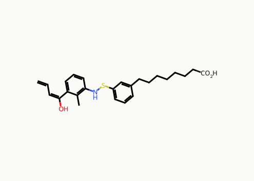 C=C/C=C(/O)c1cccc(NSc2cccc(CCCCCCCC(=O)O)c2)c1C